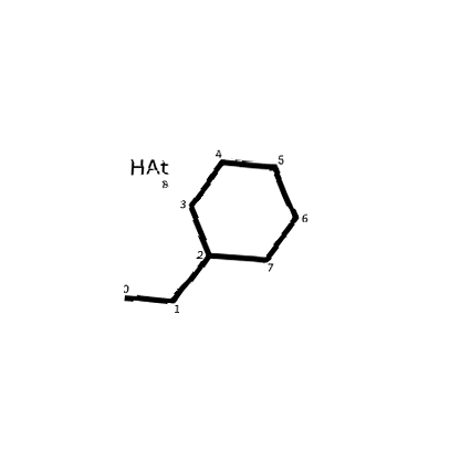 CCC1CCCCC1.[AtH]